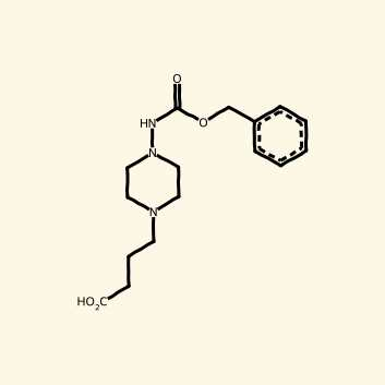 O=C(O)CCCN1CCN(NC(=O)OCc2ccccc2)CC1